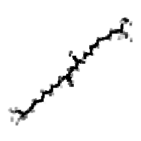 CC(C)CCCCCCCOC(=O)/C=C/C(=O)OCCCCCCCC(C)C